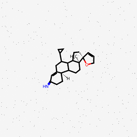 C[C@]12CCC3C(C(C4CC4)CC4=CC(=N)CC[C@@H]43)C1CC[C@@]21C=CCO1